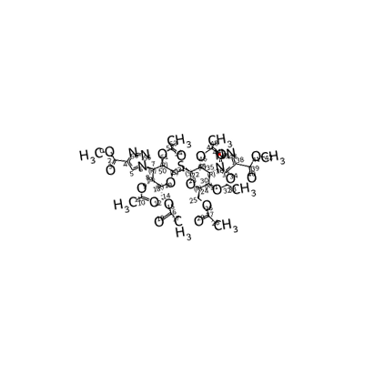 COC(=O)c1cn([C@@H]2[C@@H](OC(C)=O)[C@@H](COC(C)=O)O[C@@H](S[C@@H]3O[C@H](COC(C)=O)[C@H](OC(C)=O)[C@@H](n4cc(C(=O)OC)nn4)[C@H]3OC(C)=O)[C@@H]2OC(C)=O)nn1